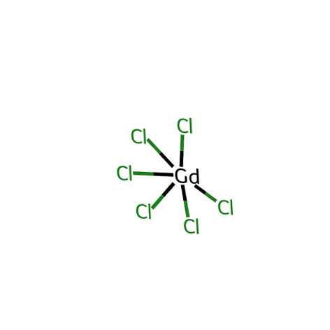 [Cl][Gd]([Cl])([Cl])([Cl])([Cl])[Cl]